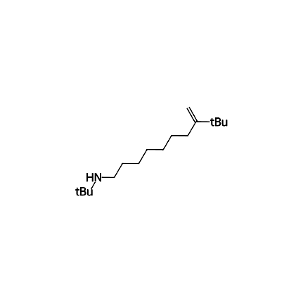 C=C(CCCCCCCNC(C)(C)C)C(C)(C)C